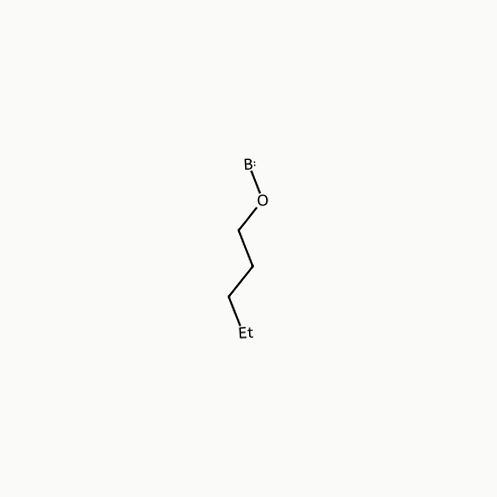 [B]OCCCCC